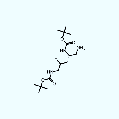 CC(C)(C)OC(=O)NCC(F)C[C@@H](CN)NC(=O)OC(C)(C)C